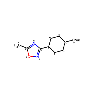 COC1CCC(c2noc(C)n2)CC1